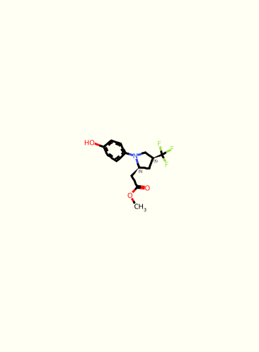 COC(=O)C[C@@H]1C[C@H](C(F)(F)F)CN1c1ccc(O)cc1